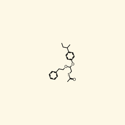 CCC(C)c1ccc(OC(CSC(C)=O)OCCc2ccccc2)cc1